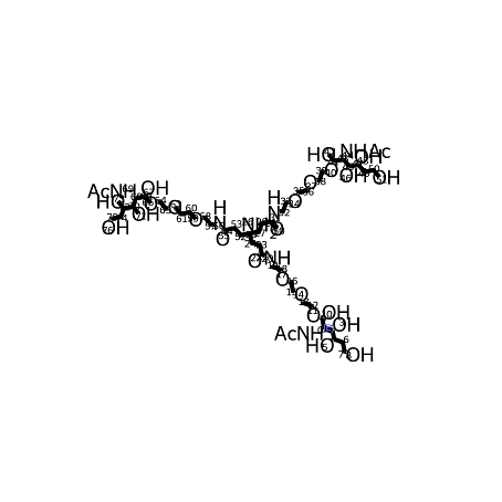 CC(=O)N/C(=C(/O)C(O)CCO)C(O)OCCOCCOCCNC(=O)CCC(N)(CCC(=O)NCCOCCOCCOC(O)C(NC(C)=O)C(O)C(O)CCO)CCC(=O)NCCOCCOCCOC(O)C(NC(C)=O)C(O)C(O)CCO